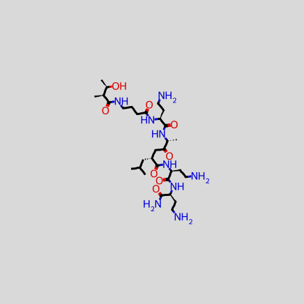 CC(C)C[C@H](CC(=O)[C@@H](C)NC(=O)[C@H](CCN)NC(=O)CCCNC(=O)[C@@H](C)[C@@H](C)O)C(=O)N[C@@H](CCN)C(=O)N[C@@H](CCN)C(N)=O